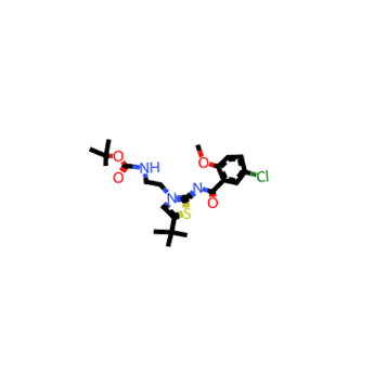 COc1ccc(Cl)cc1C(=O)/N=c1\sc(C(C)(C)C)cn1CCNC(=O)OC(C)(C)C